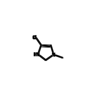 CN1C=C(Cl)NC1